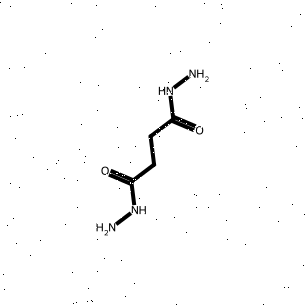 NNC(=O)CCC(=O)NN